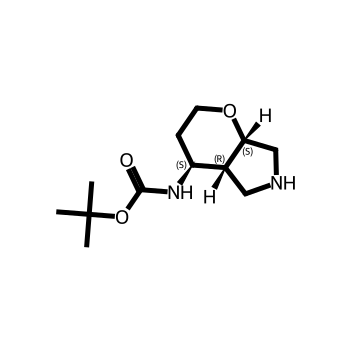 CC(C)(C)OC(=O)N[C@H]1CCO[C@@H]2CNC[C@H]12